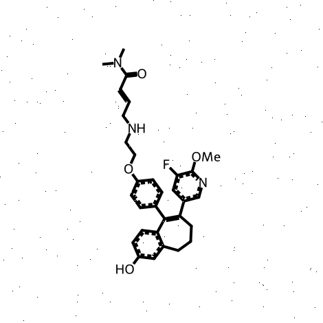 COc1ncc(C2=C(c3ccc(OCCNC/C=C/C(=O)N(C)C)cc3)c3ccc(O)cc3CCC2)cc1F